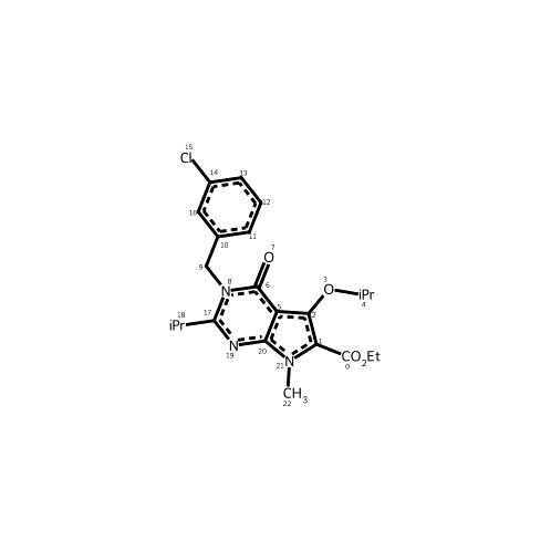 CCOC(=O)c1c(OC(C)C)c2c(=O)n(Cc3cccc(Cl)c3)c(C(C)C)nc2n1C